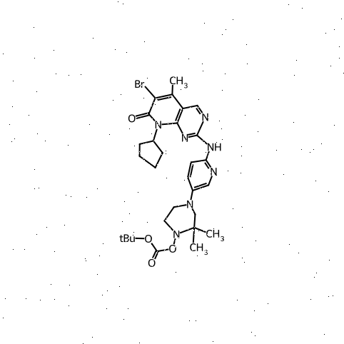 Cc1c(Br)c(=O)n(C2CCCC2)c2nc(Nc3ccc(N4CCN(OC(=O)OC(C)(C)C)C(C)(C)C4)cn3)ncc12